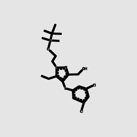 CCc1c(Sc2cc(Cl)cc(Cl)c2)c(CO)nn1CCO[Si](C)(C)C(C)(C)C